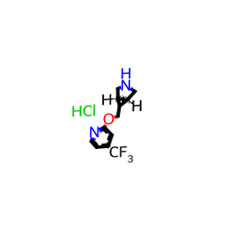 Cl.FC(F)(F)c1ccnc(OCC2[C@H]3CNC[C@@H]23)c1